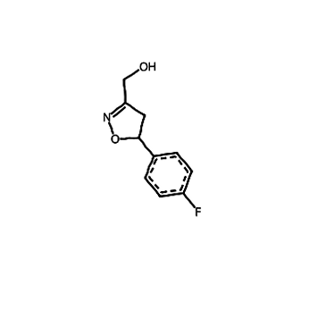 OCC1=NOC(c2ccc(F)cc2)C1